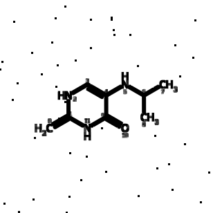 C=C1NC=C(NC(C)C)C(=O)N1